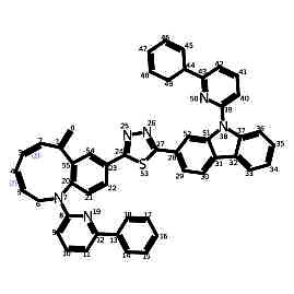 C=C1/C=C\C=C/CN(c2cccc(-c3ccccc3)n2)c2ccc(-c3nnc(-c4ccc5c6ccccc6n(-c6cccc(C7C=CC=CC7)n6)c5c4)s3)cc21